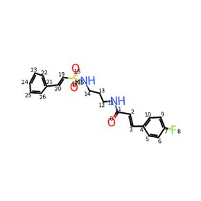 O=C(/C=C/c1ccc(F)cc1)NCCCNS(=O)(=O)/C=C/c1ccccc1